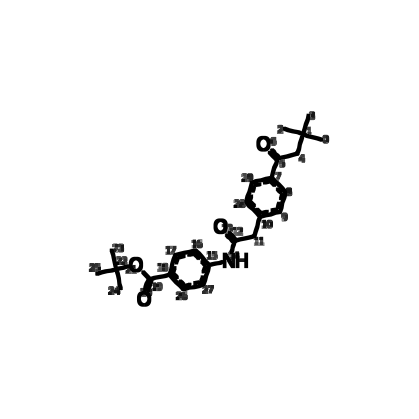 CC(C)(C)CC(=O)c1ccc(CC(=O)Nc2ccc(C(=O)OC(C)(C)C)cc2)cc1